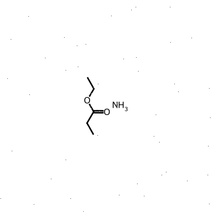 CCOC(=O)CC.N